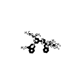 COOSN(C)c1cc(-c2ncc([C@@](C)(Cc3ccccc3)NC(=O)OC(C)(C)C)o2)cc(N(Cc2ccccc2)CC2CC2C)n1